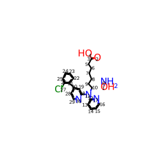 NO.O=C(O)CCCCCCN(c1ccccn1)c1cc(-c2ccccc2Cl)ccn1